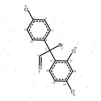 O=CC(Br)(c1ccc(Cl)cc1)c1ccc(Cl)cc1Cl